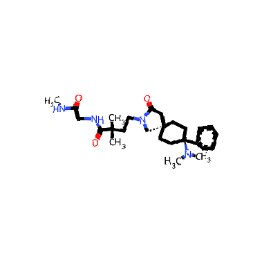 CNC(=O)CNC(=O)C(C)(C)CCN1C[C@]2(CC[C@](c3ccccc3)(N(C)C)CC2)CC1=O